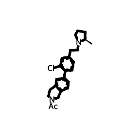 CC(=O)N1CCc2cc(-c3ccc(CCN4CCC[C@H]4C)cc3Cl)ccc2C1